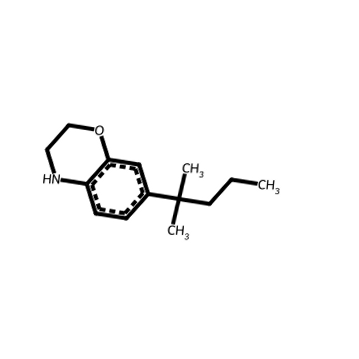 CCCC(C)(C)c1ccc2c(c1)OCCN2